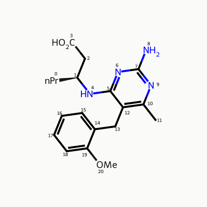 CCC[C@@H](CC(=O)O)Nc1nc(N)nc(C)c1Cc1ccccc1OC